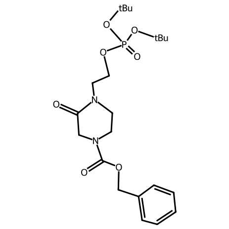 CC(C)(C)OP(=O)(OCCN1CCN(C(=O)OCc2ccccc2)CC1=O)OC(C)(C)C